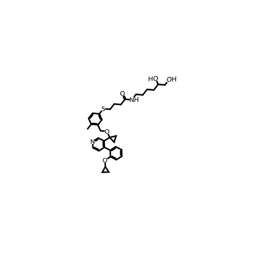 Cc1ccc(SCCCC(=O)NCCCCC(O)CO)cc1COC1(c2cnccc2-c2ccccc2OC2CC2)CC1